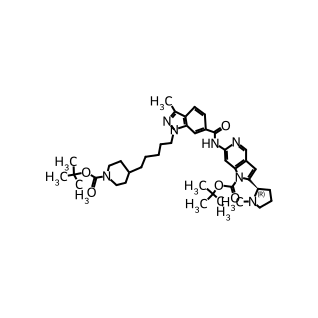 Cc1nn(CCCCCC2CCN(C(=O)OC(C)(C)C)CC2)c2cc(C(=O)Nc3cc4c(cn3)cc([C@H]3CCCN3C)n4C(=O)OC(C)(C)C)ccc12